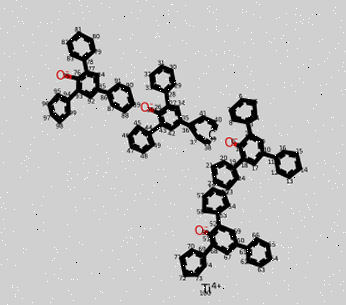 [O-]c1c(-c2ccccc2)cc(-c2ccccc2)cc1-c1ccccc1.[O-]c1c(-c2ccccc2)cc(-c2ccccc2)cc1-c1ccccc1.[O-]c1c(-c2ccccc2)cc(-c2ccccc2)cc1-c1ccccc1.[O-]c1c(-c2ccccc2)cc(-c2ccccc2)cc1-c1ccccc1.[Ti+4]